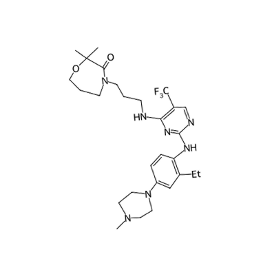 CCc1cc(N2CCN(C)CC2)ccc1Nc1ncc(C(F)(F)F)c(NCCCN2CCCOC(C)(C)C2=O)n1